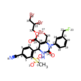 CS(=O)(=O)c1cc(C#N)ccc1C1NC(=O)N(c2cccc(CF)c2)C(CBr)=C1C(=O)OCC(Br)CBr